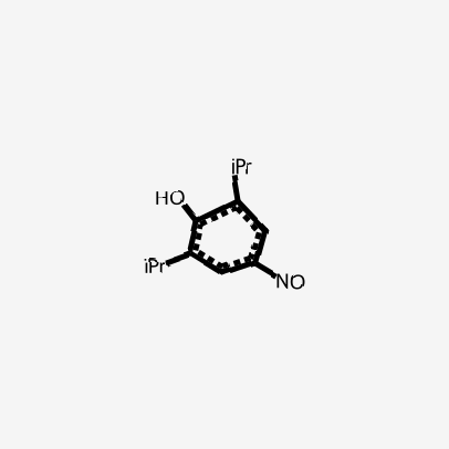 CC(C)c1cc(N=O)cc(C(C)C)c1O